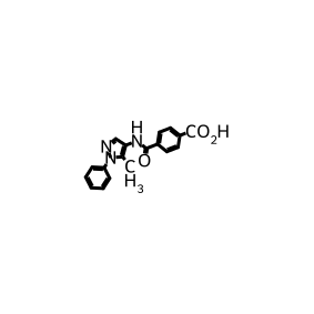 Cc1c(NC(=O)c2ccc(C(=O)O)cc2)cnn1-c1ccccc1